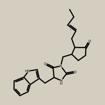 CC/C=C/CC1C(=O)CCC1CN1C(=O)NC(Cc2c[nH]c3ccccc23)C1=O